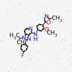 COc1cc(Nc2nccc3c2nc(-c2ccc(F)cc2)n3C(C)C)ccc1-c1cnc(C)o1